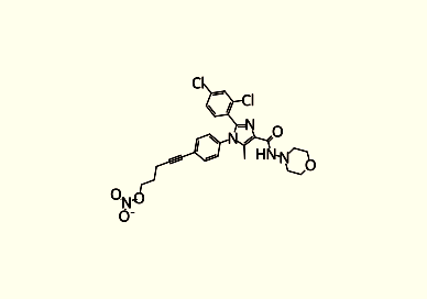 Cc1c(C(=O)NN2CCOCC2)nc(-c2ccc(Cl)cc2Cl)n1-c1ccc(C#CCCCO[N+](=O)[O-])cc1